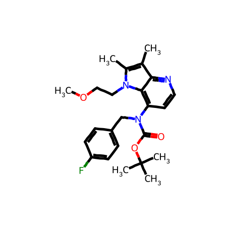 COCCn1c(C)c(C)c2nccc(N(Cc3ccc(F)cc3)C(=O)OC(C)(C)C)c21